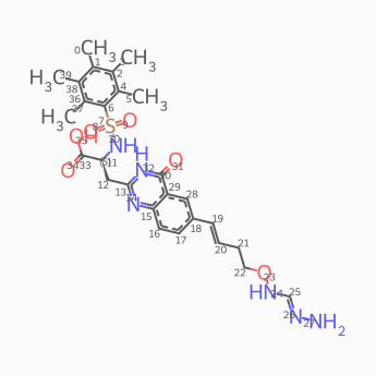 Cc1c(C)c(C)c(S(=O)(=O)N[C@@H](Cc2nc3ccc(C=CCCONC=NN)cc3c(=O)[nH]2)C(=O)O)c(C)c1C